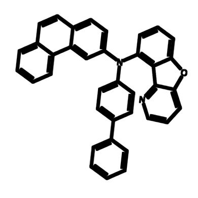 c1ccc(-c2ccc(N(c3ccc4ccc5ccccc5c4c3)c3cccc4oc5cccnc5c34)cc2)cc1